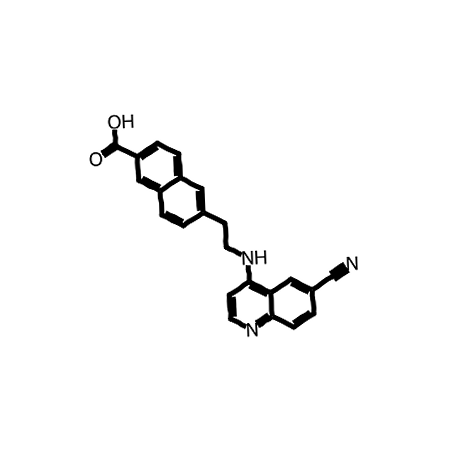 N#Cc1ccc2nccc(NCCc3ccc4cc(C(=O)O)ccc4c3)c2c1